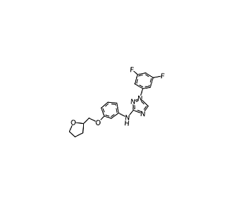 Fc1cc(F)cc(-n2cnc(Nc3cccc(OCC4CCCO4)c3)n2)c1